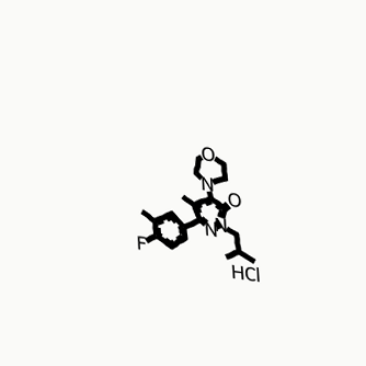 Cc1cc(-c2nn(CC(C)C)c(=O)c(N3CCOCC3)c2C)ccc1F.Cl